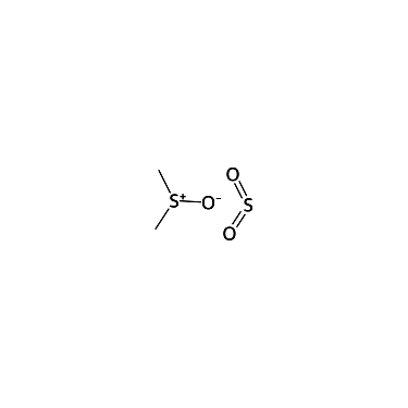 C[S+](C)[O-].O=S=O